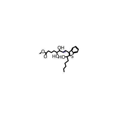 CCCCCC(O)c1sc2ccccc2c1/C=C/C(O)C(O)CCCC(=O)OC